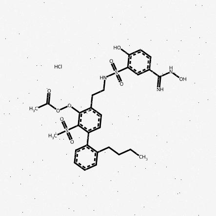 CCCCc1ccccc1-c1ccc(CCNS(=O)(=O)c2cc(C(=N)NO)ccc2O)c(OOC(C)=O)c1S(C)(=O)=O.Cl